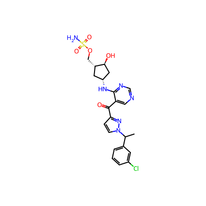 CC(c1cccc(Cl)c1)n1ccc(C(=O)c2cncnc2N[C@@H]2C[C@H](COS(N)(=O)=O)[C@@H](O)C2)n1